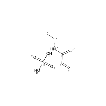 C=CC(=O)NCC.O=S(=O)(O)O